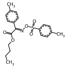 CCCCOC(=O)/C(=N/OS(=O)(=O)c1ccc(C)cc1)c1ccc(C)cc1